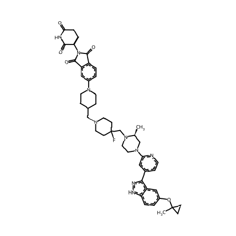 C[C@H]1CN(c2cc(-c3n[nH]c4ccc(OC5(C)CC5)cc34)ccn2)CCN1CC1(F)CCN(CC2CCN(c3ccc4c(c3)C(=O)N(C3CCC(=O)NC3=O)C4=O)CC2)CC1